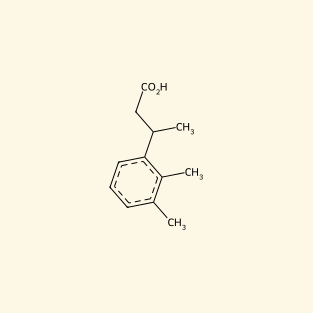 Cc1cccc(C(C)CC(=O)O)c1C